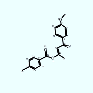 COc1ccc(C(=O)/C=C(\C)OC(=O)c2ccc(C)cc2)cc1